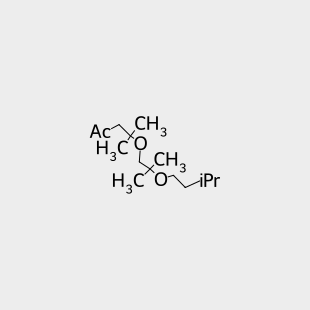 CC(=O)CC(C)(C)OCC(C)(C)OCCC(C)C